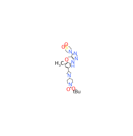 Cc1cc(C2CN(C3CCN(C(=O)OC(C)(C)C)CC3)C2)cc2c1OCc1c(ncnc1N1CCS(=O)(=O)CC1)N2